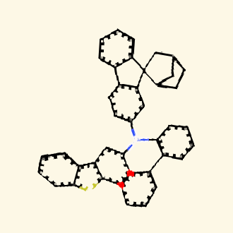 c1ccc(-c2ccccc2N(c2ccc3c(c2)C2(CC4CCC2C4)c2ccccc2-3)c2ccc3sc4ccccc4c3c2)cc1